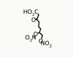 O=C(O)CC(=O)CCCC(CO[N+](=O)[O-])O[N+](=O)[O-]